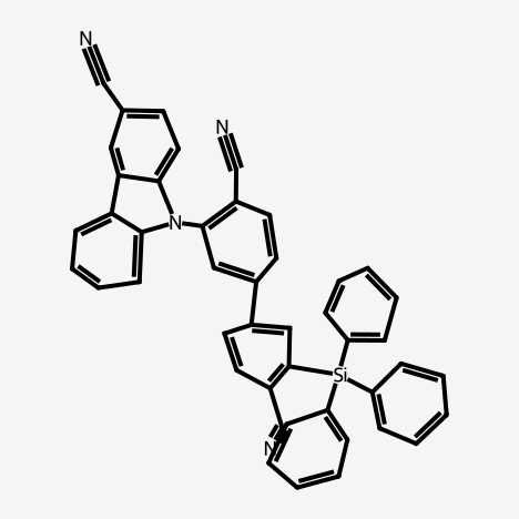 N#Cc1ccc2c(c1)c1ccccc1n2-c1cc(-c2ccc(C#N)c([Si](c3ccccc3)(c3ccccc3)c3ccccc3)c2)ccc1C#N